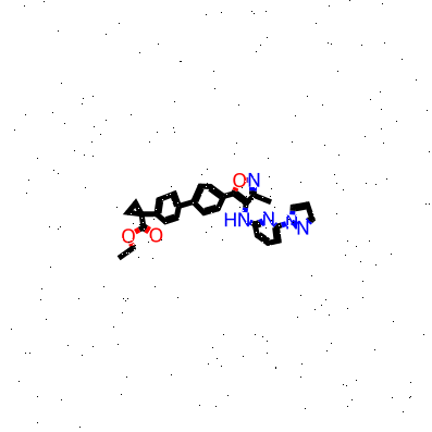 CCOC(=O)C1(c2ccc(-c3ccc(-c4onc(C)c4Nc4cccc(-n5cccn5)n4)cc3)cc2)CC1